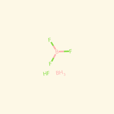 B.F.FB(F)F